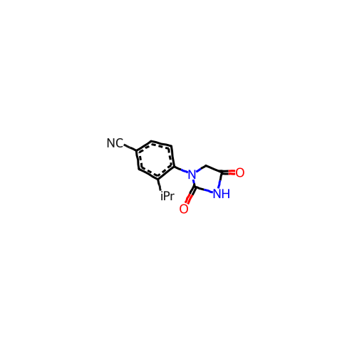 CC(C)c1cc(C#N)ccc1N1CC(=O)NC1=O